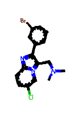 CN(C)Cc1c(-c2cccc(Br)c2)nc2ccc(Cl)cn12